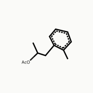 CC(=O)OC(C)Cc1ccccc1C